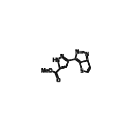 COC(=O)c1cc(-c2ncnc3ccsc23)n[nH]1